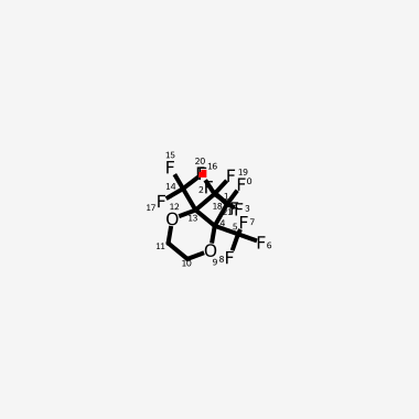 FC(F)(F)C1(C(F)(F)F)OCCOC1(C(F)(F)F)C(F)(F)F